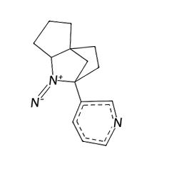 [N-]=[N+]1C2CCCC23CCC1(c1cccnc1)C3